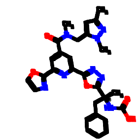 Cc1cc(CN(C)C(=O)c2cc(-c3ncco3)nc(-c3nnc([C@@](C)(Cc4ccccc4)NC(=O)O)o3)c2)n(C)n1